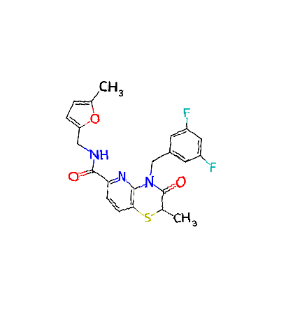 Cc1ccc(CNC(=O)c2ccc3c(n2)N(Cc2cc(F)cc(F)c2)C(=O)C(C)S3)o1